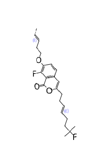 C/C=C/CCOc1ccc2cc(CC/C=C/CCC(C)(C)F)oc(=O)c2c1F